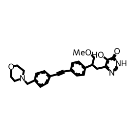 COCC(Cc1nc[nH]c(=O)c1O)c1ccc(C#Cc2ccc(CN3CCOCC3)cc2)cc1